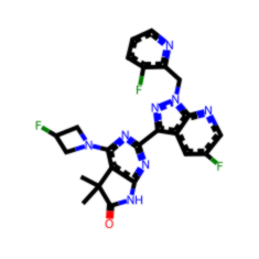 CC1(C)C(=O)Nc2nc(-c3nn(Cc4ncccc4F)c4ncc(F)cc34)nc(N3CC(F)C3)c21